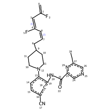 C=C(F)/C=C(F)\C=C/CC1CCN(c2ccc(C#N)cc2NC(=O)c2cncc(C)n2)CC1